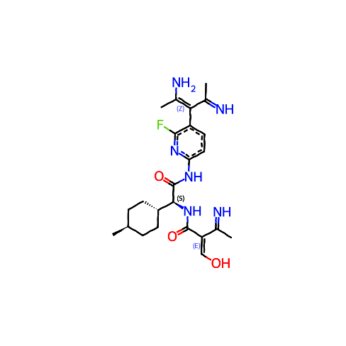 CC(=N)/C(=C(/C)N)c1ccc(NC(=O)[C@@H](NC(=O)/C(=C/O)C(C)=N)[C@H]2CC[C@H](C)CC2)nc1F